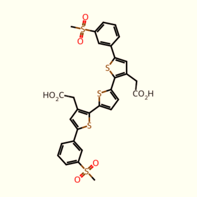 CS(=O)(=O)c1cccc(-c2cc(CC(=O)O)c(-c3ccc(-c4sc(-c5cccc(S(C)(=O)=O)c5)cc4CC(=O)O)s3)s2)c1